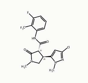 CN1C[C@H](c2cc(Cl)nn2C)[C@@H](C(=O)Nc2cccc(F)c2C(F)(F)F)C1=O